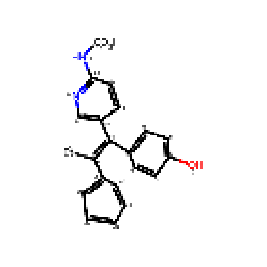 CC/C(=C(/c1ccc(O)cc1)c1ccc(NC(=O)O)nc1)c1ccccc1